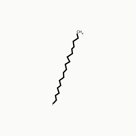 C.CCCCCCCCCCCCCCCCCCI